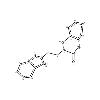 O=C(O)N(CCc1nc2ccccc2[nH]1)Oc1ccccc1